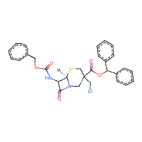 O=C(NC1C(=O)N2CC(CCl)(C(=O)OC(c3ccccc3)c3ccccc3)CS[C@H]12)OCc1ccccc1